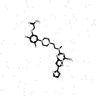 CN(CCN1CCN(c2cc(OCC(N)=O)c(F)cc2F)CC1)c1nc(N)n2nc(-c3ccco3)cc2n1